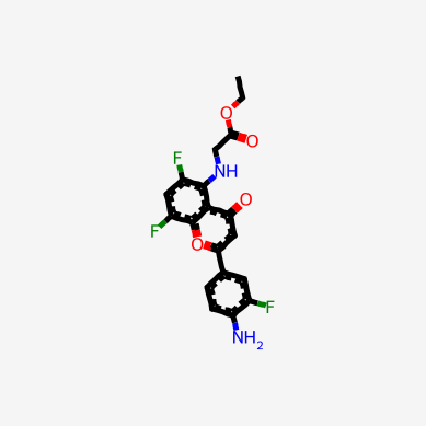 CCOC(=O)CNc1c(F)cc(F)c2oc(-c3ccc(N)c(F)c3)cc(=O)c12